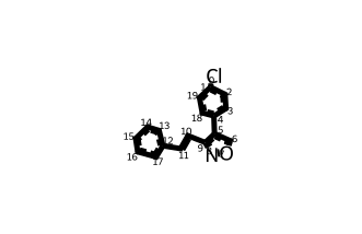 Clc1ccc(-c2conc2C=Cc2ccccc2)cc1